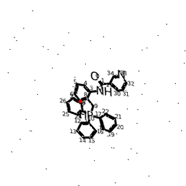 O=C(Nc1ccccc1C[PH](c1ccccc1)(c1ccccc1)c1ccccc1)c1cccnc1